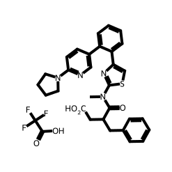 CN(C(=O)C(CC(=O)O)Cc1ccccc1)c1nc(-c2ccccc2-c2ccc(N3CCCC3)nc2)cs1.O=C(O)C(F)(F)F